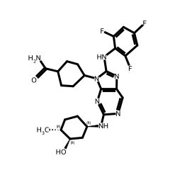 C[C@@H]1CC[C@@H](Nc2ncc3nc(Nc4c(F)cc(F)cc4F)n(C4CCC(C(N)=O)CC4)c3n2)C[C@H]1O